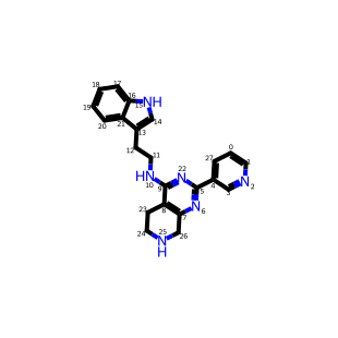 c1cncc(-c2nc3c(c(NCCc4c[nH]c5ccccc45)n2)CCNC3)c1